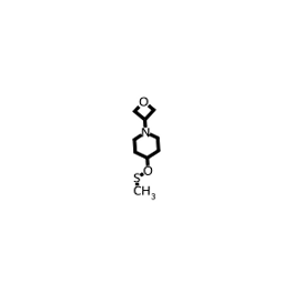 CSOC1CCN(C2COC2)CC1